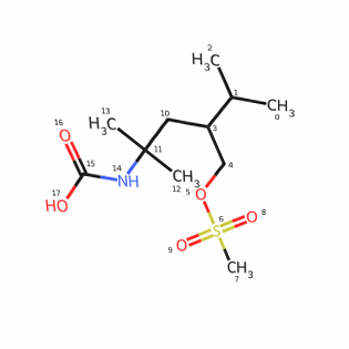 CC(C)C(COS(C)(=O)=O)CC(C)(C)NC(=O)O